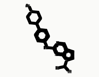 CCC(CC)n1ccc2cnc(Nc3ccc(C4CCN(C(C)=O)CC4)cc3)nc21